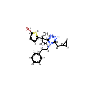 CC(C)(c1ccc(Br)s1)c1nnc(CC2CC2)n1CCc1ccccc1